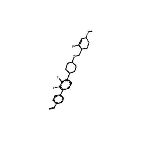 C=Cc1ccc(-c2ccc(C3CCC(OCC4CCC(OC)C=C4F)CC3)c(F)c2F)cc1